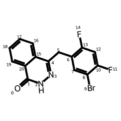 O=c1[nH]nc(Cc2cc(Br)c(F)cc2F)c2ccccc12